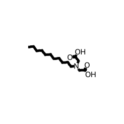 CCCCCCCCCCCN(CC(=O)O)CC(=O)O